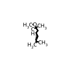 C=C(C)C=CCCC(C)(C)OC